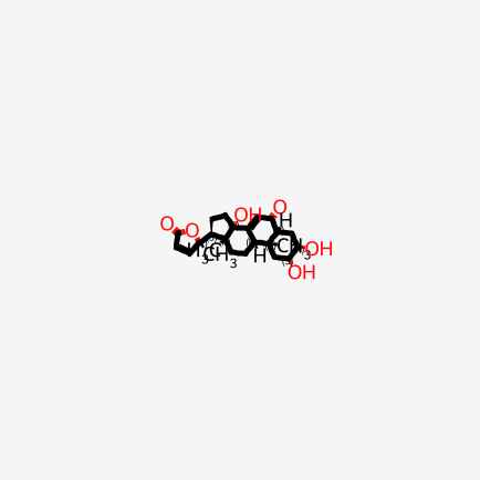 C[C@]12C[C@H](O)[C@H](O)C[C@H]1C(=O)C=C1[C@@H]2CC[C@]2(C)[C@@H]([C@@]3(C)C=CC(=O)O3)CC[C@@]12O